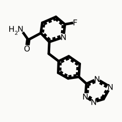 NC(=O)c1ccc(F)nc1Cc1ccc(-c2nncnn2)cc1